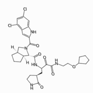 O=C(NCCOC1CCCC1)C(=O)C(C[C@@H]1CCNC1=O)NC(=O)[C@@H]1[C@H]2CCC[C@H]2CN1C(=O)c1cc2c(Cl)cc(Cl)cc2[nH]1